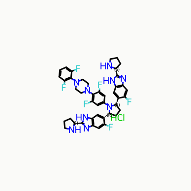 Cl.Fc1cc2nc([C@@H]3CCCN3)[nH]c2cc1[C@H]1CC[C@H](c2cc3[nH]c([C@@H]4CCCN4)nc3cc2F)N1c1cc(F)c(N2CCN(c3c(F)cccc3F)CC2)c(F)c1